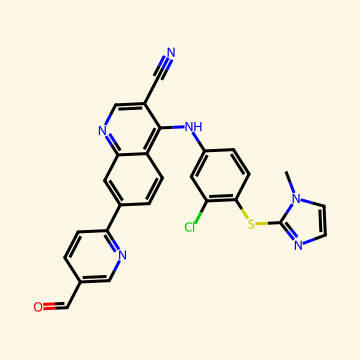 Cn1ccnc1Sc1ccc(Nc2c(C#N)cnc3cc(-c4ccc(C=O)cn4)ccc23)cc1Cl